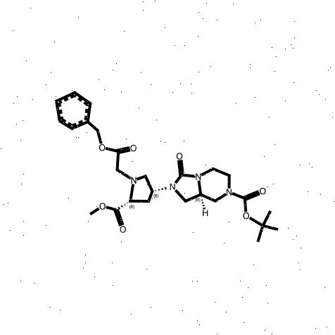 COC(=O)[C@H]1C[C@@H](N2C[C@@H]3CN(C(=O)OC(C)(C)C)CCN3C2=O)CN1CC(=O)OCc1ccccc1